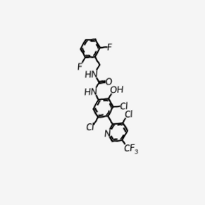 O=C(NCc1c(F)cccc1F)Nc1cc(Cl)c(-c2ncc(C(F)(F)F)cc2Cl)c(Cl)c1O